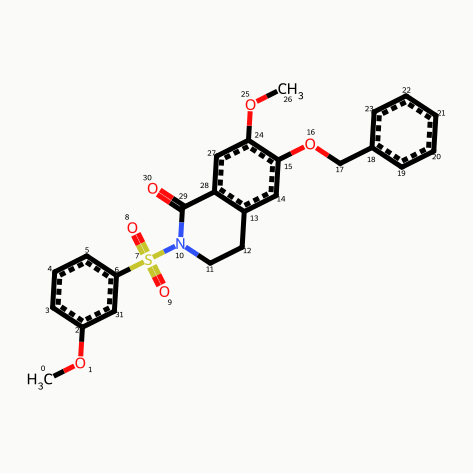 COc1cccc(S(=O)(=O)N2CCc3cc(OCc4ccccc4)c(OC)cc3C2=O)c1